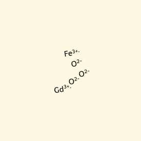 [Fe+3].[Gd+3].[O-2].[O-2].[O-2]